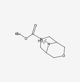 CC(C)(C)OC(=O)N1CC2COCC(C1)N2C(=O)O